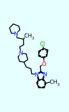 Cc1cccc2c1nc(COc1ccc(Cl)cc1)n2CCCC1CCN(CCC(C)CN2CCCCC2)CC1